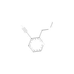 COCc1ncccc1C#N